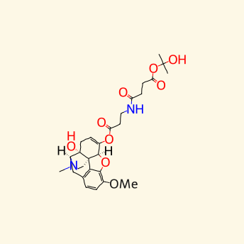 COc1ccc2c3c1O[C@@H]1C(OC(=O)CCNC(=O)CCC(=O)OC(C)(C)O)=CC[C@]4(O)[C@H](C2)N(C)CC[C@@]314